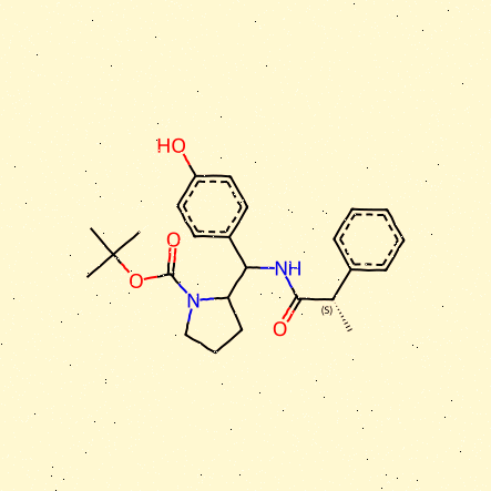 C[C@H](C(=O)NC(c1ccc(O)cc1)C1CCCN1C(=O)OC(C)(C)C)c1ccccc1